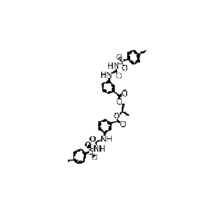 Cc1ccc(S(=O)(=O)NC(=O)Nc2cccc(C(=O)OCC(C)OC(=O)c3cccc(NC(=O)NS(=O)(=O)c4ccc(C)cc4)c3)c2)cc1